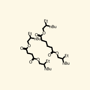 CCCCC(CC)COC(=O)CCC(=O)OCC(CC)CCCC.CCCCC(CC)COC(=O)CCCCC(=O)OCC(CC)CCCC